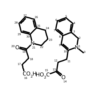 CN1Cc2ccccc2C=C1CCC(=O)C(=O)O.O=C(O)CCC(=O)N1CCCc2ccccc21